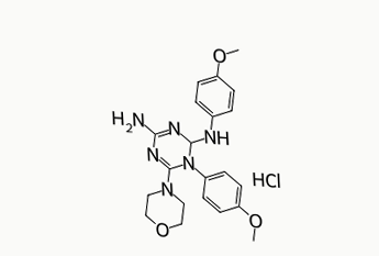 COc1ccc(NC2N=C(N)N=C(N3CCOCC3)N2c2ccc(OC)cc2)cc1.Cl